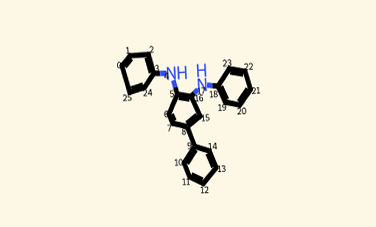 c1ccc(Nc2ccc(-c3ccccc3)cc2Nc2ccccc2)cc1